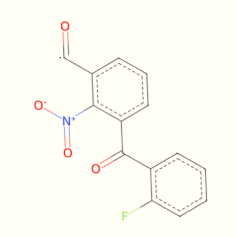 O=[C]c1cccc(C(=O)c2ccccc2F)c1[N+](=O)[O-]